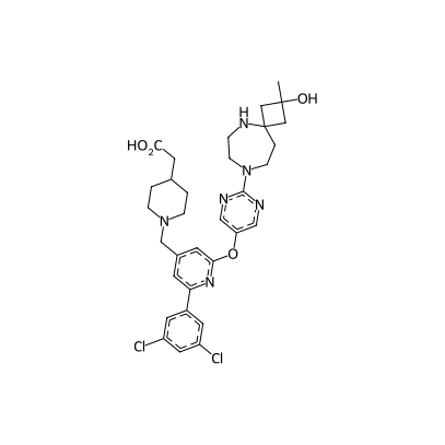 CC1(O)CC2(CCN(c3ncc(Oc4cc(CN5CCC(CC(=O)O)CC5)cc(-c5cc(Cl)cc(Cl)c5)n4)cn3)CCN2)C1